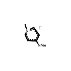 CNc1cc[n+](C)cc1.[I-]